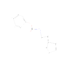 O=C([N]CCC1CCCC1)Oc1ccccc1